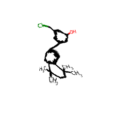 CC1(C)CCC(C)(C)c2cc(-c3cc(O)cc(Cl)c3)ccc21